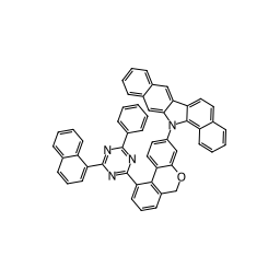 c1ccc(-c2nc(-c3cccc4c3-c3ccc(-n5c6cc7ccccc7cc6c6ccc7ccccc7c65)cc3OC4)nc(-c3cccc4ccccc34)n2)cc1